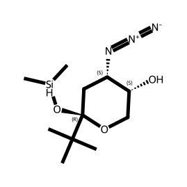 C[SiH](C)O[C@@]1(C(C)(C)C)C[C@H](N=[N+]=[N-])[C@H](O)CO1